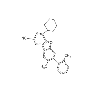 Cc1cc2c(cc1-c1cccc[n+]1C)oc1c(C3CCCCC3)cc(C#N)cc12